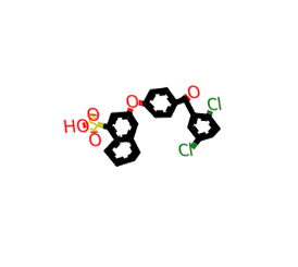 O=C(c1ccc(Oc2cc(S(=O)(=O)O)c3ccccc3c2)cc1)c1cc(Cl)ccc1Cl